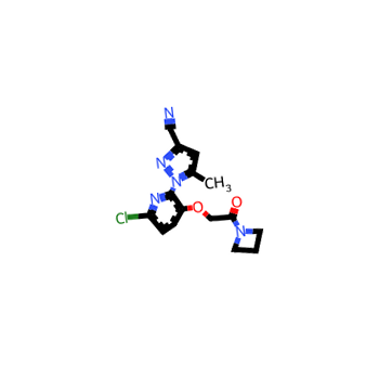 Cc1cc(C#N)nn1-c1nc(Cl)ccc1OCC(=O)N1CCC1